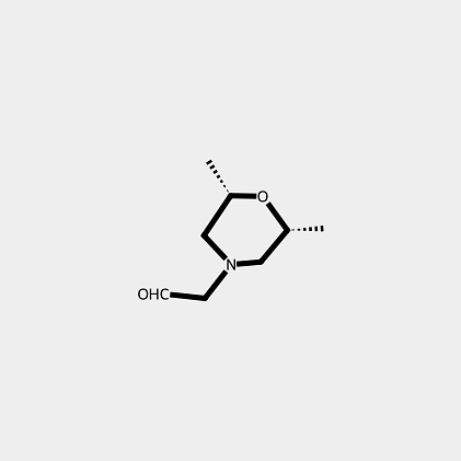 C[C@@H]1CN(CC=O)C[C@H](C)O1